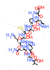 CC(C)[C@H](NC(=O)[C@H](C)NC(=O)[C@H](Cc1c[nH]cn1)NC(=O)[C@H](CCC(N)=O)NC(=O)[C@H](CCCCN)NC(=O)[C@H](CO)NC(=O)[C@H](CS)NC(=O)[C@H](CO)NC(=O)[C@@H]1CCCN1C(=O)[C@H](Cc1c[nH]cn1)NC(=O)[C@@H](N)CC(=O)O)C(=O)O